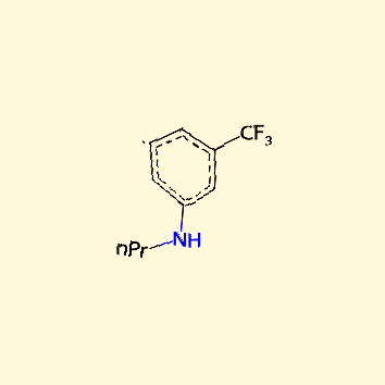 CCCNc1c[c]cc(C(F)(F)F)c1